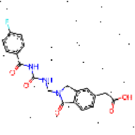 O=C(O)Cc1ccc2c(c1)CN(CNC(=O)NC(=O)c1ccc(F)cc1)C2=O